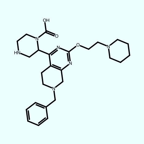 O=C(O)N1CCNCC1c1nc(OCCN2CCCCC2)nc2c1CCN(Cc1ccccc1)C2